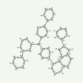 c1ccc(-c2ccc(N(c3ccc(-c4cccc5ccc6oc(-c7ccccc7)nc6c45)cc3)c3cccc(-c4ccccc4)c3)cc2)cc1